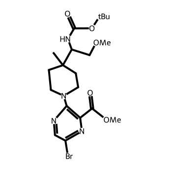 COCC(NC(=O)OC(C)(C)C)C1(C)CCN(c2ncc(Br)nc2C(=O)OC)CC1